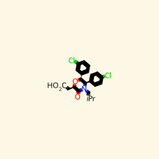 CC(C)CN1C(=O)[C@@H](CC(=O)O)O[C@H](c2cccc(Cl)c2)[C@H]1c1ccc(Cl)cc1